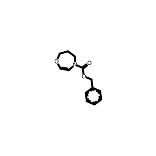 O=C(OCc1ccccc1)N1C=COCCC1